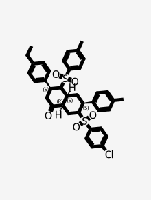 CCc1ccc([C@@H]2CC(=O)[C@@H]3CC(S(=O)(=O)c4ccc(Cl)cc4)[C@H](c4ccc(C)cc4)C[C@@H]3C2S(=O)(=O)c2ccc(C)cc2)cc1